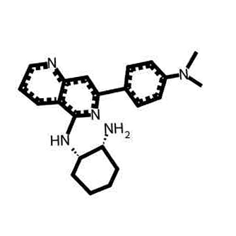 CN(C)c1ccc(-c2cc3ncccc3c(N[C@H]3CCCC[C@H]3N)n2)cc1